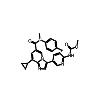 COC(=O)Nc1ccc(-c2cnc3c(C4CC4)cc(C(=O)N(C)c4ccc(F)cc4)cn23)cn1